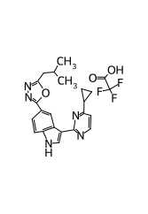 CC(C)Cc1nnc(-c2ccc3[nH]cc(-c4nccc(C5CC5)n4)c3c2)o1.O=C(O)C(F)(F)F